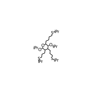 CC(C)O[C@H]1OC(CCCCSC(C)C)[C@@H](OC(C)C)C(CCCSC(C)C)C1CCCSC(C)C